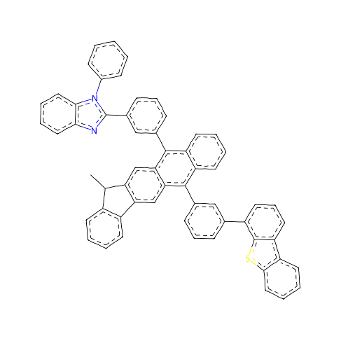 CC1c2ccccc2-c2cc3c(-c4cccc(-c5cccc6c5sc5ccccc56)c4)c4ccccc4c(-c4cccc(-c5nc6ccccc6n5-c5ccccc5)c4)c3cc21